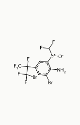 Nc1c(Br)cc(C(F)(C(F)(F)F)C(F)(F)Br)cc1[S+]([O-])C(F)F